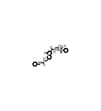 O=C(NCc1ccccc1)NCc1ccc2cc(C(=O)NCC(NS(=O)(=O)c3ccccc3)C(=O)O)cc(=O)n2c1